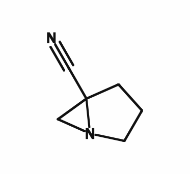 N#CC12CCCN1C2